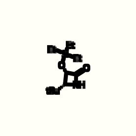 CC[Si](CC)(CC)O[C@@H]1C(=O)N[C@@H]1C(C)(C)C